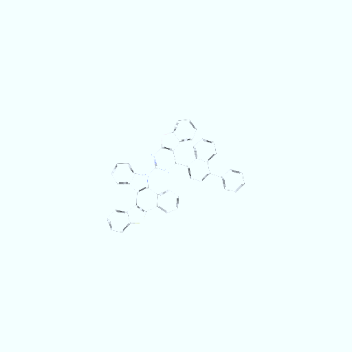 c1ccc(-c2ccc(C3NC(n4c5ccccc5c5c6c7ccccc7sc6c6ccccc6c54)=Nc4oc5ccccc5c43)c3ccccc23)cc1